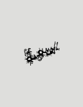 CNc1cn2nc(-c3cccc(C(=O)NCc4cc(OC(F)(F)F)ccc4F)c3F)ccc2n1